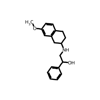 COc1ccc2c(c1)CC(NCC(O)c1ccccc1)CC2